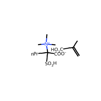 C=C(C)C(=O)O.CCCC(C(=O)[O-])([N+](C)(C)C)S(=O)(=O)O